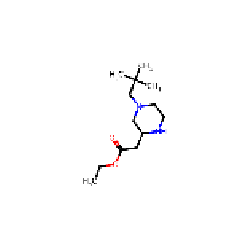 CCOC(=O)CC1CN(CC(C)(C)C)CCN1